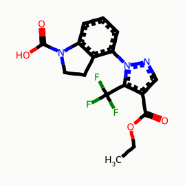 CCOC(=O)c1cnn(-c2cccc3c2CCN3C(=O)O)c1C(F)(F)F